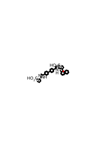 O=C(O)N1CCC[C@H]1c1ncc(-c2ccc(-c3ccc(-c4cnc([C@]5(Cc6ccccc6)C(Cc6ccccc6)CCN5C(=O)O)[nH]4)cc3)cc2)[nH]1